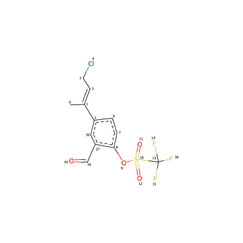 C/C(=C\CCl)c1ccc(OS(=O)(=O)C(F)(F)F)c(C=O)c1